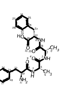 C[C@H](NC(=O)[C@H](C)NC(=O)[C@@H](N)Cc1ccccc1)C(=O)N[C@@H](Cc1ccccc1)C(=O)O